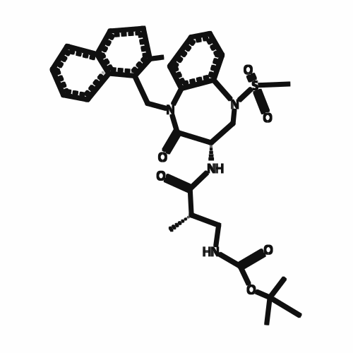 Cc1ccc2ccccc2c1CN1C(=O)[C@@H](NC(=O)[C@@H](C)CNC(=O)OC(C)(C)C)CN(S(C)(=O)=O)c2ccccc21